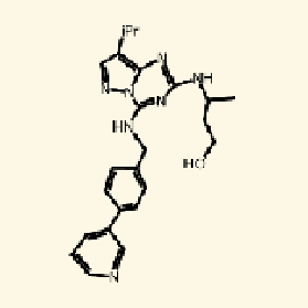 CC(CCO)Nc1nc(NCc2ccc(-c3cccnc3)cc2)n2ncc(C(C)C)c2n1